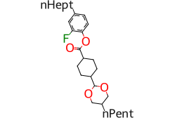 CCCCCCCc1ccc(OC(=O)C2CCC(C3OCC(CCCCC)CO3)CC2)c(F)c1